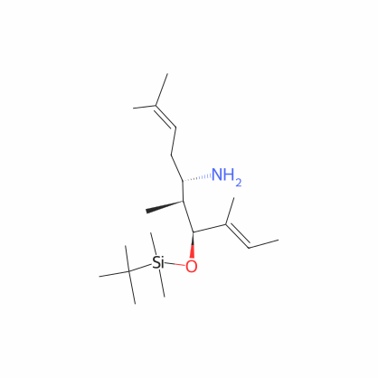 C/C=C(\C)[C@@H](O[Si](C)(C)C(C)(C)C)[C@@H](C)[C@@H](N)CC=C(C)C